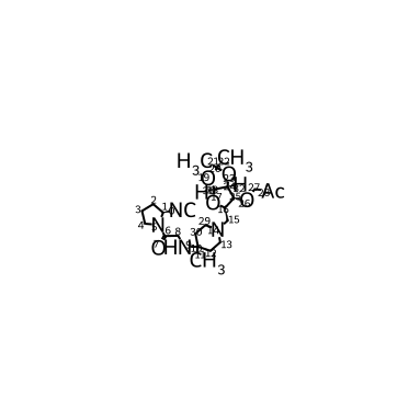 [C-]#[N+][C@@H]1CCCN1C(=O)CNC1(C)CCN(C[C@H]2O[C@@H]3OC(C)(C)O[C@@H]3[C@H]2OCC(C)=O)CC1